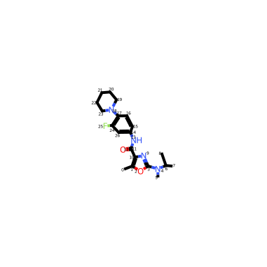 Cc1oc(N(C)C(C)C)nc1C(=O)Nc1ccc(N2CCCCC2)c(F)c1